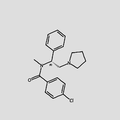 CN(C(=O)c1ccc(Cl)cc1)[C@@H](CN1CCCC1)c1ccccc1